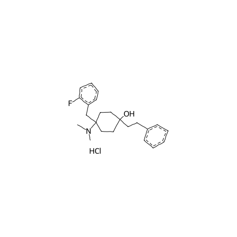 CN(C)C1(Cc2ccccc2F)CCC(O)(CCc2ccccc2)CC1.Cl